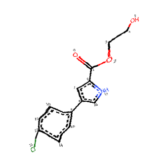 O=C(OCCO)c1cc(-c2ccc(Cl)cc2)c[nH]1